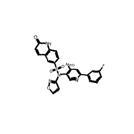 COc1cc(-c2cccc(F)c2)ncc1N(c1ccon1)S(=O)(=O)c1ccc2[nH]c(=O)ccc2c1